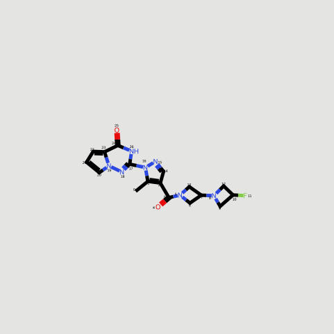 Cc1c(C(=O)N2CC(N3CC(F)C3)C2)cnn1-c1nn2cccc2c(=O)[nH]1